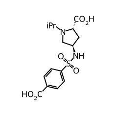 CC(C)N1C[C@H](NS(=O)(=O)c2ccc(C(=O)O)cc2)C[C@H]1C(=O)O